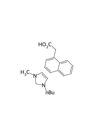 CCCCN1C=CN(C)C1.O=C(O)Cc1cccc2ccccc12